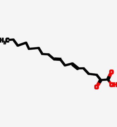 CCCCCCCCC=CCC=CCCCC(=O)C(=O)O